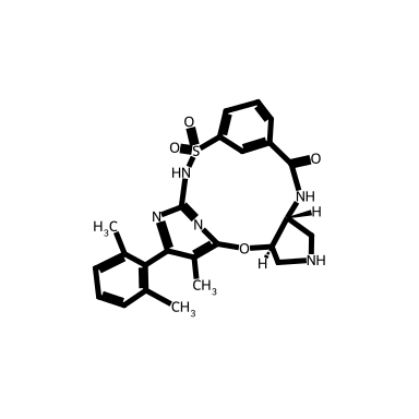 Cc1cccc(C)c1-c1nc2nc(c1C)O[C@@H]1CNC[C@H]1NC(=O)c1cccc(c1)S(=O)(=O)N2